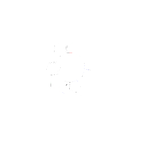 CN1CCOc2c(F)cccc2-c2cccc(c2)C[C@H]2[C@@H](NS(=O)(=O)C(F)F)C(F)(F)CN2C1=O